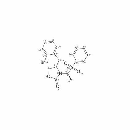 C[C@@H](N1C(=O)OCC1Cc1ccccc1Br)S(=O)(=O)c1ccccc1